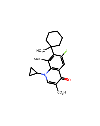 COc1c(C2(C(=O)O)CCCCC2)c(F)cc2c(=O)c(C(=O)O)cn(C3CC3)c12